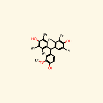 CCOc1cc(C(c2cc(C(C)C)c(O)c(C(C)C)c2C(C)C)c2cc(C(C)C)c(O)c(C(C)C)c2C(C)C)ccc1O